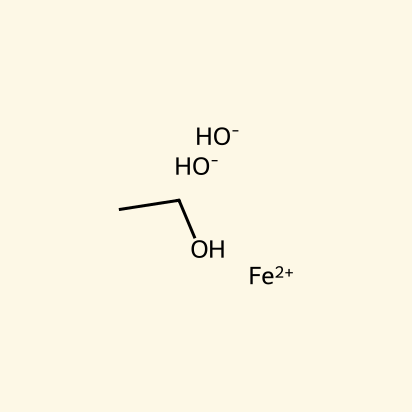 CCO.[Fe+2].[OH-].[OH-]